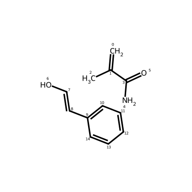 C=C(C)C(N)=O.OC=Cc1ccccc1